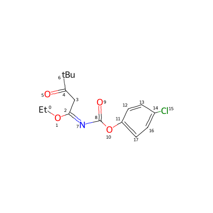 CCO/C(CC(=O)C(C)(C)C)=N/C(=O)Oc1ccc(Cl)cc1